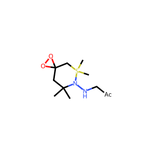 CC(=O)CNN1C(C)(C)CC2(CS1(C)C)OO2